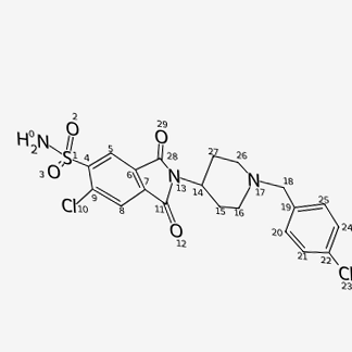 NS(=O)(=O)c1cc2c(cc1Cl)C(=O)N(C1CCN(Cc3ccc(Cl)cc3)CC1)C2=O